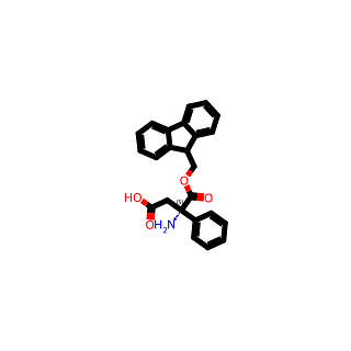 N[C@](CC(=O)O)(C(=O)OCC1c2ccccc2-c2ccccc21)c1ccccc1